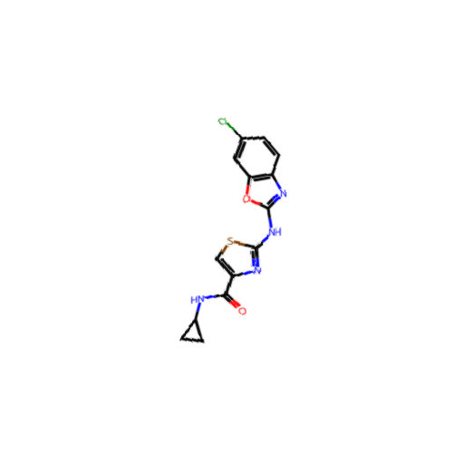 O=C(NC1CC1)c1csc(Nc2nc3ccc(Cl)cc3o2)n1